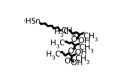 CCCCC(CC)C(=O)O.CCCCC(CC)C(=O)O.CCCCC(CC)C(=O)O.CCCCCCC[CH2][SnH]